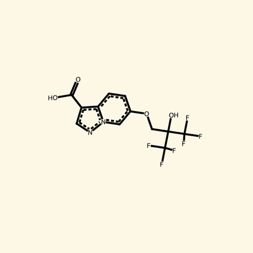 O=C(O)c1cnn2cc(OCC(O)(C(F)(F)F)C(F)(F)F)ccc12